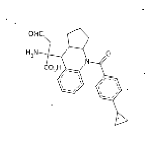 NC(CC=O)(C(=O)O)C1c2ccccc2N(C(=O)c2ccc(C3CC3)cc2)C2CCCC21